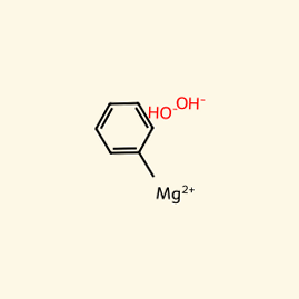 Cc1ccccc1.[Mg+2].[OH-].[OH-]